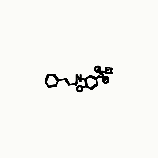 CCS(=O)(=O)c1ccc2oc(/C=C/c3ccccc3)nc2c1